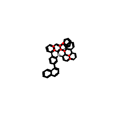 c1ccc(-c2ccc(-c3cccc4ccccc34)cc2N(c2ccccc2-c2cccc3cccc(-c4ccccc4)c23)c2cccc3c2oc2ccccc23)cc1